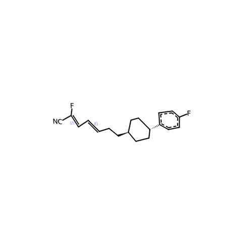 N#C/C(F)=C/C=C/CC[C@H]1CC[C@H](c2ccc(F)cc2)CC1